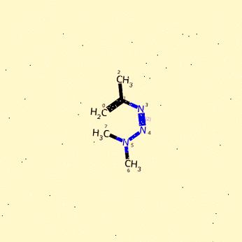 C=C(C)/N=N\N(C)C